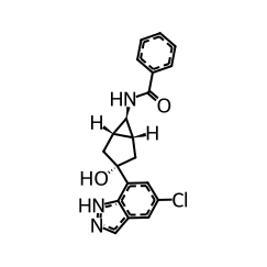 O=C(N[C@H]1[C@@H]2C[C@@](O)(c3cc(Cl)cc4cn[nH]c34)C[C@@H]21)c1ccccc1